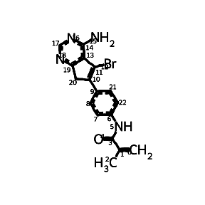 C=C(C)C(=O)Nc1ccc(C2=C(Br)c3c(N)ncnc3C2)cc1